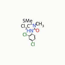 CSC(N(C)C(=O)Nc1ccc(Cl)cc1Cl)C(Cl)(Cl)Cl